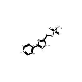 CS(=O)(=O)OCc1nc(-c2ccncc2)no1